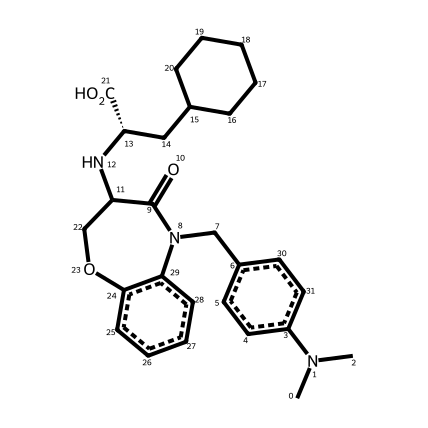 CN(C)c1ccc(CN2C(=O)C(N[C@@H](CC3CCCCC3)C(=O)O)COc3ccccc32)cc1